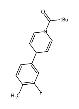 Cc1ccc(C2C=CN(C(=O)C(C)(C)C)C=C2)cc1F